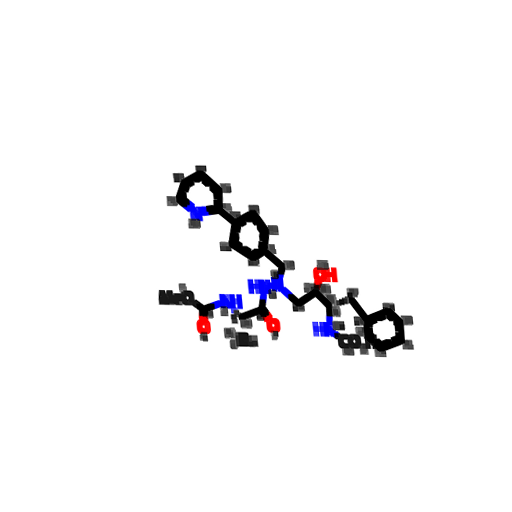 CC[C@H](C)[C@H](NC(=O)OC)C(=O)NN(Cc1ccc(-c2ccccn2)cc1)C[C@@H](O)[C@H](Cc1ccccc1)NC(=O)O